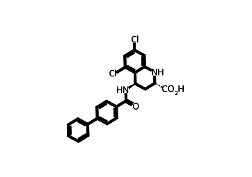 O=C(N[C@@H]1C[C@@H](C(=O)O)Nc2cc(Cl)cc(Cl)c21)c1ccc(-c2ccccc2)cc1